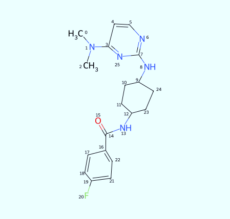 CN(C)c1ccnc(NC2CCC(NC(=O)c3ccc(F)cc3)CC2)n1